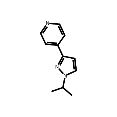 CC(C)n1ccc(-c2ccncc2)n1